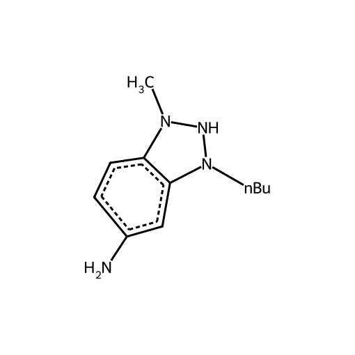 CCCCN1NN(C)c2ccc(N)cc21